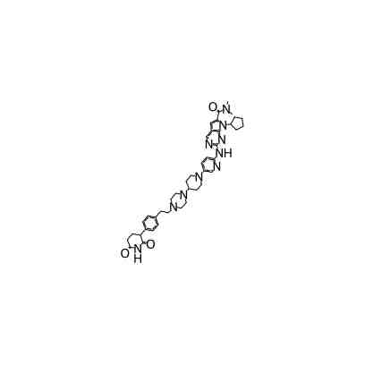 CN(C)C(=O)c1cc2cnc(Nc3ccc(N4CCC(N5CCN(CCc6ccc(C7CCC(=O)NC7=O)cc6)CC5)CC4)cn3)nc2n1C1CCCC1